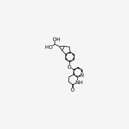 O=C1CCc2c(Oc3ccc4c(c3)C3C(C4)C3C(O)O)ccnc2N1